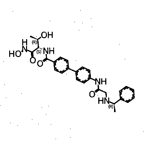 C[C@@H](NCC(=O)Nc1ccc(-c2ccc(C(=O)N[C@H](C(=O)NO)[C@@H](C)O)cc2)cc1)c1ccccc1